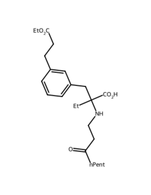 CCCCCC(=O)CCNC(CC)(Cc1cccc(CCC(=O)OCC)c1)C(=O)O